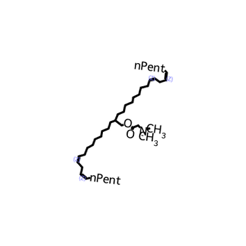 CCCCC/C=C\C/C=C\CCCCCCCCC(CCCCCCCC/C=C\C/C=C\CCCCC)COC(=O)CN(C)C